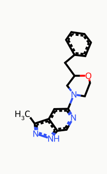 Cc1n[nH]c2cnc(N3CCOC(Cc4ccccc4)C3)cc12